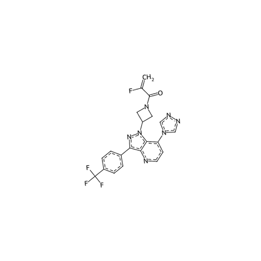 C=C(F)C(=O)N1CC(n2nc(-c3ccc(C(F)(F)F)cc3)c3nccc(-n4cnnc4)c32)C1